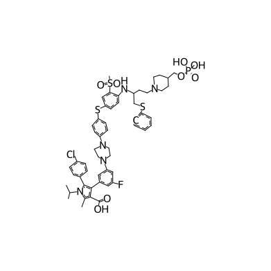 Cc1c(C(=O)O)c(-c2cc(F)cc(N3CCN(c4ccc(Sc5ccc(NC(CCN6CCC(COP(=O)(O)O)CC6)CSc6ccccc6)c(S(C)(=O)=O)c5)cc4)CC3)c2)c(-c2ccc(Cl)cc2)n1C(C)C